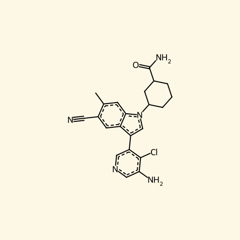 Cc1cc2c(cc1C#N)c(-c1cncc(N)c1Cl)cn2C1CCCC(C(N)=O)C1